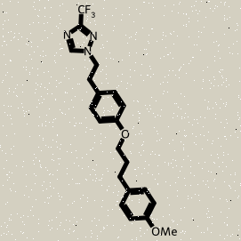 COc1ccc(CCCOc2ccc(CCn3cnc(C(F)(F)F)n3)cc2)cc1